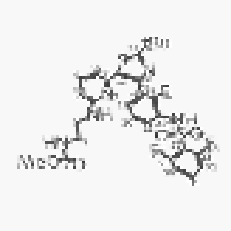 COC(=O)NCCNc1nccc(-c2sc(C(C)(C)C)nc2-c2cccc(NS(=O)(=O)c3c(F)cccc3F)c2F)n1